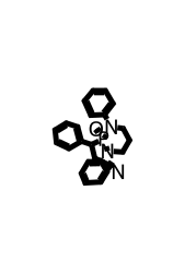 N#CCC(c1ccccc1)P1(=O)N(c2ccccc2)CCCN1c1ccccc1